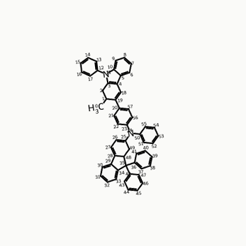 CC1Cc2c(c3ccccc3n2-c2ccccc2)C=C1c1ccc(N(C2=CC=C3c4ccccc4C(c4ccccc4)(c4ccccc4)C3C2)c2ccccc2)cc1